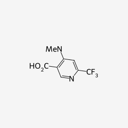 CNc1cc(C(F)(F)F)ncc1C(=O)O